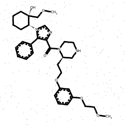 COCCOc1cccc(OCC[C@@H]2CNCCN2C(=O)c2ncn([C@@H]3CCCC[C@@]3(O)COC)c2-c2ccccc2)c1